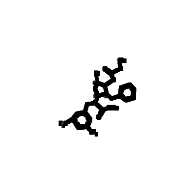 CC[C@@H]1C[C@H](N(Cc2cc(C(F)(F)F)cc(C(F)(F)F)c2)C(=O)OC)[C@H](Cc2ccccc2)N1OC(=O)OC(C)(C)C